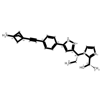 C[C@H](O)c1nccn1[C@H](CN)c1cc(-c2ccc(C#CC34CC(N)(C3)C4)cc2)on1